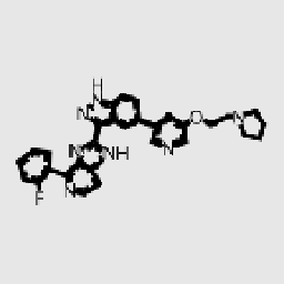 Fc1ccccc1-c1nccc2[nH]c(-c3n[nH]c4ccc(-c5cncc(OCCN6CCCC6)c5)cc34)nc12